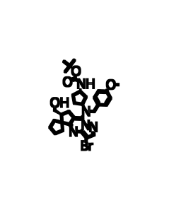 COc1ccc(CN(c2c3c(nc4c(Br)cnn24)C2(CCCC2)[C@@H](CO)C3)[C@H]2CC[C@H](NC(=O)OC(C)(C)C)C2)cc1